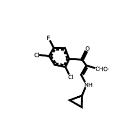 O=[C]C(=CNC1CC1)C(=O)c1cc(F)c(Cl)cc1Cl